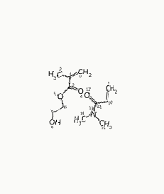 C=C(C)C(=O)OCCO.C=CC(=O)N(C)C